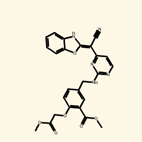 COC(=O)COc1ccc(CNc2nccc(C(C#N)=C3Nc4ccccc4O3)n2)cc1C(=O)OC